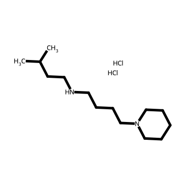 CC(C)CCNCCCCN1CCCCC1.Cl.Cl